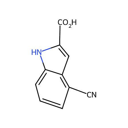 N#Cc1cccc2[nH]c(C(=O)O)cc12